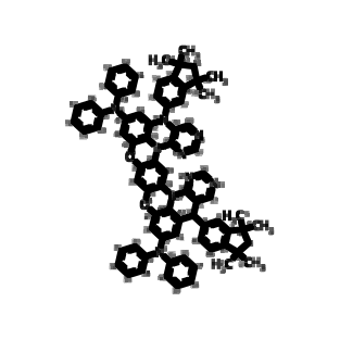 CC1(C)CC(C)(C)c2cc(C3c4cncnc4B4c5cc6c(cc5Oc5cc(N(c7ccccc7)c7ccccc7)cc3c54)Oc3cc(N(c4ccccc4)c4ccccc4)cc4c3B6c3ncncc3N4c3ccc4c(c3)C(C)(C)CC4(C)C)ccc21